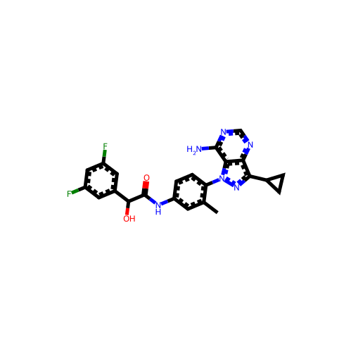 Cc1cc(NC(=O)C(O)c2cc(F)cc(F)c2)ccc1-n1nc(C2CC2)c2ncnc(N)c21